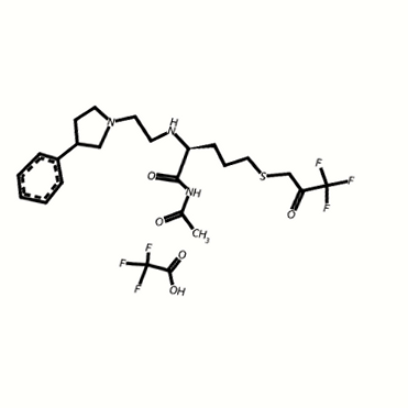 CC(=O)NC(=O)[C@H](CCCSCC(=O)C(F)(F)F)NCCN1CCC(c2ccccc2)C1.O=C(O)C(F)(F)F